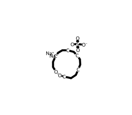 C1CCCCCCCOOCCCCCC1.O=S(=O)([O-])[O-].[Na+].[Na+]